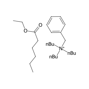 CCCCCC(=O)OCC.CCCC[N+](CCCC)(CCCC)Cc1ccccc1